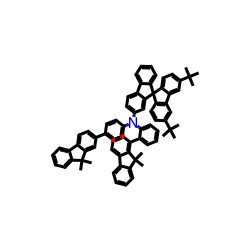 CC(C)(C)c1ccc2c(c1)-c1cc(C(C)(C)C)ccc1C21c2ccccc2-c2ccc(N(c3ccc(-c4ccc5c(c4)C(C)(C)c4ccccc4-5)cc3)c3ccccc3-c3cccc4c3C(C)(C)c3ccccc3-4)cc21